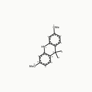 COc1ccc2c(c1)Nc1cc(OC)ccc1C2(C)C